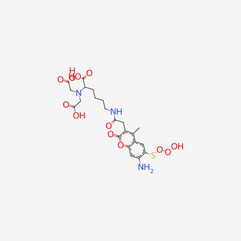 Cc1c(CC(=O)NCCCCC(C(=O)O)N(CC(=O)O)CC(=O)O)c(=O)oc2cc(N)c(SOOO)cc12